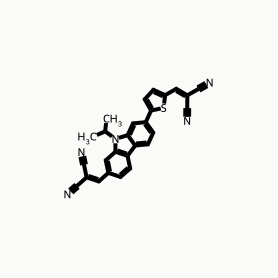 CC(C)n1c2cc(C=C(C#N)C#N)ccc2c2ccc(-c3ccc(C=C(C#N)C#N)s3)cc21